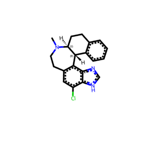 CN1CCc2cc(Cl)c3[nH]cnc3c2[C@H]2c3ccccc3CC[C@@H]21